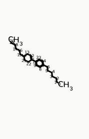 CCCCCCCc1ccc(C2=CCC(CCCCCC)CC2)cc1